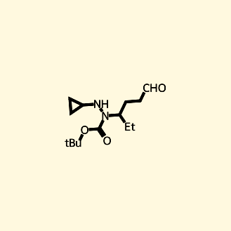 CCC(CCC=O)N(NC1CC1)C(=O)OC(C)(C)C